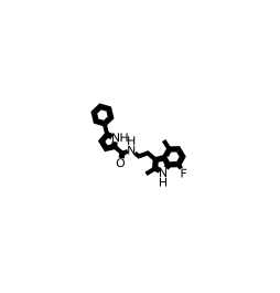 Cc1[nH]c2c(F)ccc(C)c2c1CCNC(=O)c1ccc(-c2ccccc2)[nH]1